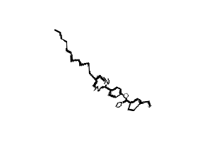 CCCCCCCCCCCc1cnc(-c2ccc(OC(=O)C3=CC(CC)CC3)cc2)nc1